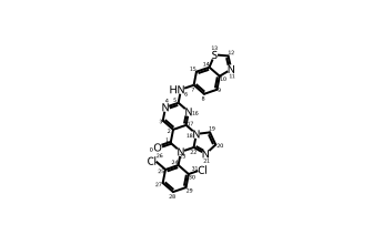 O=c1c2cnc(Nc3ccc4ncsc4c3)nc2n2ccnc2n1-c1c(Cl)cccc1Cl